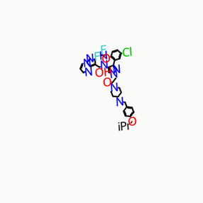 CC(C)Oc1ccc(CN(C)C2CCN(C(=O)Cn3cc(NC(O)c4cnn5cccnc45)c(-c4cc(Cl)ccc4OC(F)F)n3)CC2)cc1